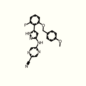 COc1ccc(COc2cccc(F)c2-c2cc(Nc3cnc(C#N)cn3)n[nH]2)cc1